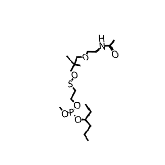 CCCC(CC)OP(OC)OCCSOCC(C)(C)COCCNC(C)=O